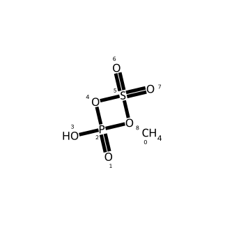 C.O=P1(O)OS(=O)(=O)O1